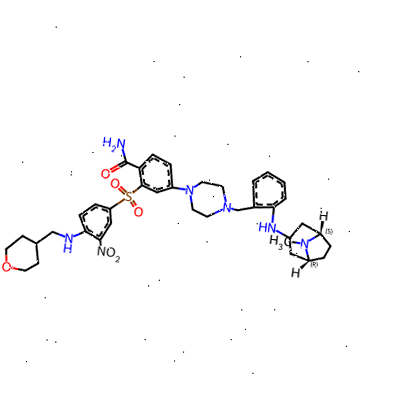 CN1[C@@H]2CC[C@H]1CC(Nc1ccccc1CN1CCN(c3ccc(C(N)=O)c(S(=O)(=O)c4ccc(NCC5CCOCC5)c([N+](=O)[O-])c4)c3)CC1)C2